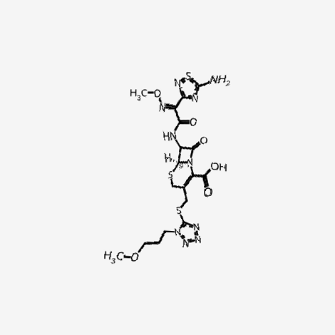 COCCCn1nnnc1SCC1=C(C(=O)O)N2C(=O)C(NC(=O)C(=NOC)c3nsc(N)n3)[C@@H]2SC1